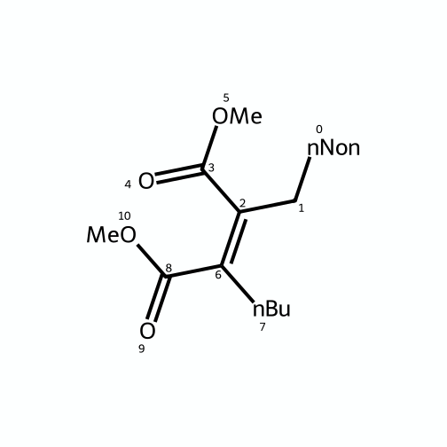 CCCCCCCCCC/C(C(=O)OC)=C(\CCCC)C(=O)OC